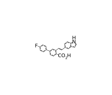 O=C(O)c1ccc(-c2ccc(F)cc2)cc1/C=C/c1ccc2[nH]ccc2c1